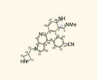 CN/C=C1/C=C(c2ncc3c(ccn3CC3CNC3)c2-c2ccc(C#N)cc2)C=CC1=N